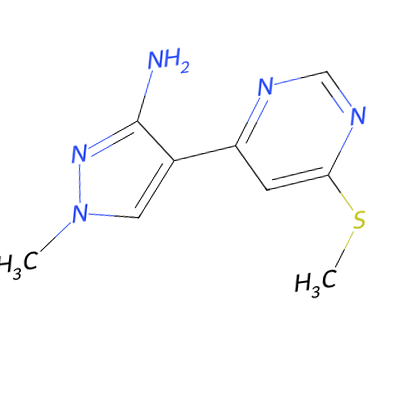 CSc1cc(-c2cn(C)nc2N)ncn1